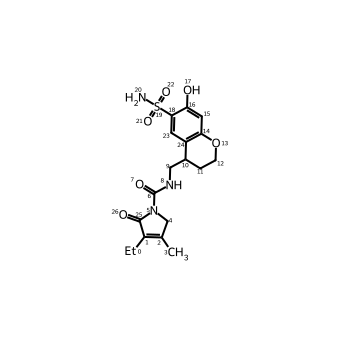 CCC1=C(C)CN(C(=O)NCC2CCOc3cc(O)c(S(N)(=O)=O)cc32)C1=O